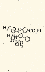 CCOC(=O)C1=CC2=C(CC1)OC(c1ccc(C)o1)c1c3c(c(-c4ccccc4)n12)c(=O)n(C)c(=O)n3C